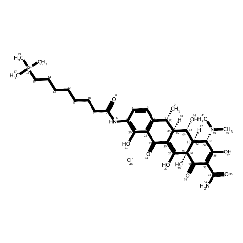 C[C@H]1c2ccc(NC(=O)CCCCCCC[P+](C)(C)C)c(O)c2C(=O)C2=C(O)[C@]3(O)C(=O)C(C(N)=O)=C(O)[C@@H](N(C)C)[C@@H]3[C@@H](O)[C@@H]21.[Cl-]